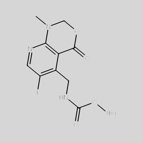 CN1COC(=O)c2c1ncc(I)c2CNC(=O)OC(C)(C)C